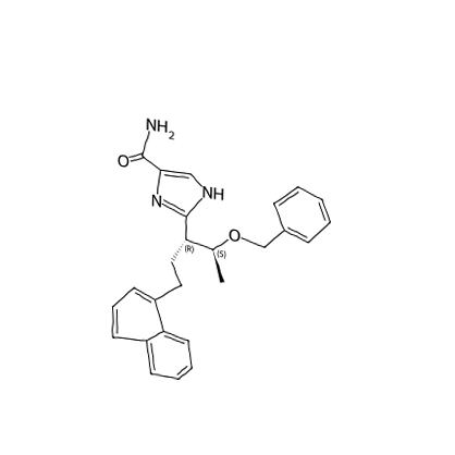 C[C@H](OCc1ccccc1)[C@H](CCc1cccc2ccccc12)c1nc(C(N)=O)c[nH]1